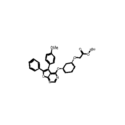 COc1ccc(-c2c(-c3ccccc3)oc3ncnc(O[C@@H]4CCC[C@H](OCC(=O)OC(C)(C)C)C4)c23)cc1